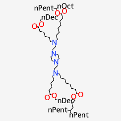 CCCCCCCCCCCOC(=O)CCCCCN(CCCCCCCC(=O)OCCCC(CCCCC)CCCCC)CCN1CCN(CCN(CCCCCCCC(=O)OC(CCCCC)CCCCCCCC)CCCCCC(=O)OCCCCCCCCCCC)CC1